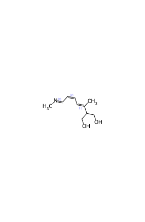 C/N=C/C=C\C=C(/C)C(CO)CO